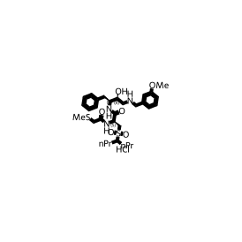 CCCC(CCC)S(=O)(=O)C[C@@H](NC(=O)CSC)C(=O)N[C@@H](Cc1ccccc1)[C@H](O)CNCc1cccc(OC)c1.Cl